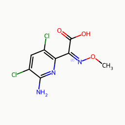 CO/N=C(\C(=O)O)c1nc(N)c(Cl)cc1Cl